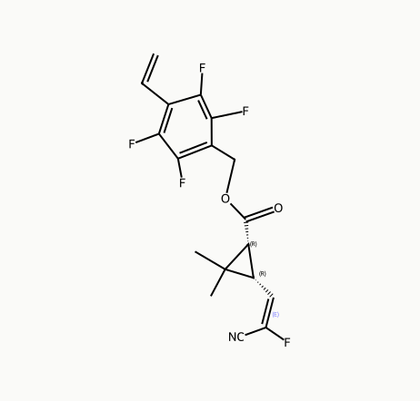 C=Cc1c(F)c(F)c(COC(=O)[C@@H]2[C@H](/C=C(/F)C#N)C2(C)C)c(F)c1F